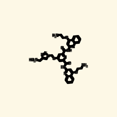 NCCOc1cc(NC(=O)c2cc(OCn3cc(CC(=O)O)nn3)cc(C(=O)Nc3cc(OCCN)c4ccccc4n3)n2)nc2ccccc12